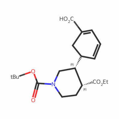 CCOC(=O)[C@@H]1CCN(C(=O)OC(C)(C)C)C[C@@H]1C1C=CC=C(C(=O)O)C1